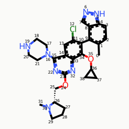 Cc1ccc2[nH]ncc2c1-c1c(Cl)cc2c(N3CCNCC3)nc(OC[C@@H]3CCCN3C)nc2c1OC1CC1